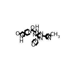 Cn1cc(-c2nc(N3CCOCC3)c3nc(C(=O)N4CCC5(CC4)CNC(=O)C5)[nH]c3n2)cn1